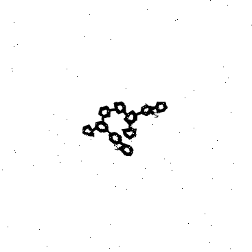 c1ccc(-c2cc(-c3cccc(-c4cccc(-c5cc(-c6ccccc6)cc(-c6ccc7c(c6)sc6ccccc67)c5)c4)c3)cc(-c3ccc4c(c3)sc3ccccc34)c2)cc1